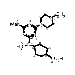 CNc1nc(N2CCN(C)CC2)nc(N(C)C2CCC(C(=O)O)CC2)n1